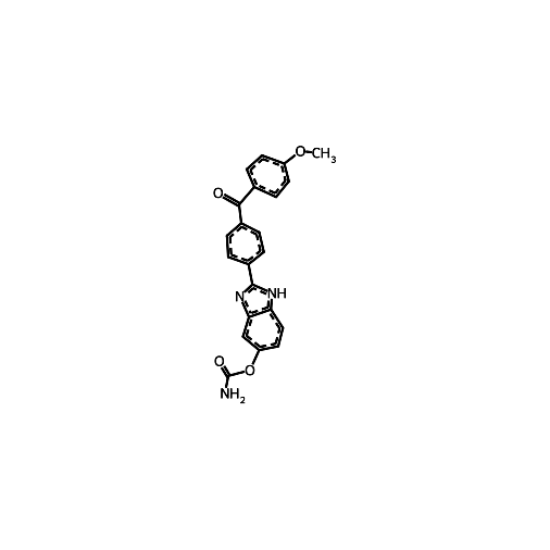 COc1ccc(C(=O)c2ccc(-c3nc4cc(OC(N)=O)ccc4[nH]3)cc2)cc1